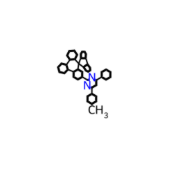 Cc1ccc(-c2cc(-c3ccccc3)nc(-c3ccc4c(c3)C3(c5ccccc5-c5ccccc5-4)c4ccccc4-c4ccccc43)n2)cc1